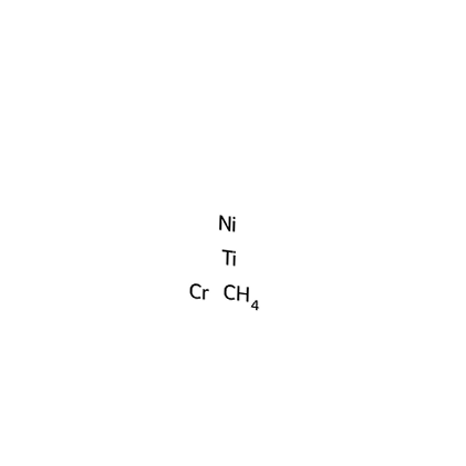 C.[Cr].[Ni].[Ti]